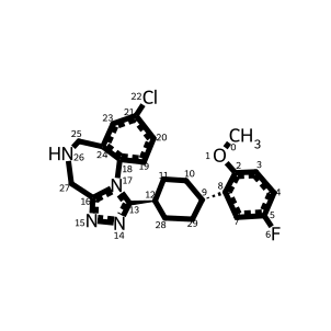 COc1ccc(F)cc1[C@H]1CC[C@H](c2nnc3n2-c2ccc(Cl)cc2CNC3)CC1